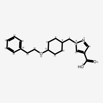 O=C(O)c1cnn(CC2CCC(OCCc3ccccc3)CC2)c1